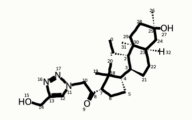 CC[C@H]1[C@H]([C@@H]2CC[C@H](C(=O)Cn3cc(CO)nn3)C2(C)C)CC[C@@H]2C[C@](C)(O)CC[C@@]21C